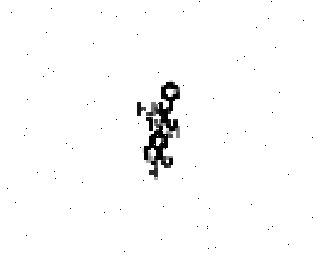 NC(CC1CCCCC1)C(=O)Nc1cc2cc[nH]c(=O)c2cc1Cl